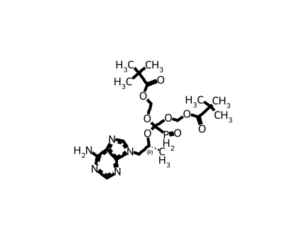 C[C@H](Cn1cnc2c(N)ncnc21)OC(OCOC(=O)C(C)(C)C)(OCOC(=O)C(C)(C)C)[PH2]=O